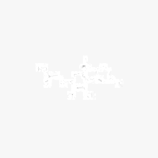 C[C@H]1c2cc(OCC(=O)O)c(Cl)c(Cl)c2C2=CC(=O)CCC21